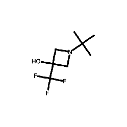 CC(C)(C)N1CC(O)(C(F)(F)F)C1